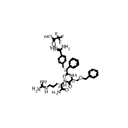 N=C(N)NCCC[C@H](NC(=O)[C@H](COCc1ccccc1)NC(=O)[C@H](Cc1ccc(C(=N)N)cc1)c1ccccc1)C(N)=O.O=C(O)C(F)(F)F